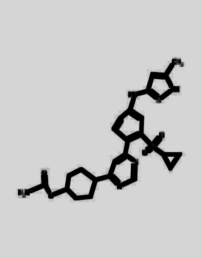 Cc1cc(Nc2ccc(-c3cc(C4CCC(OC(N)=O)CC4)ncn3)c(S(=O)(=O)C3CC3)c2)n[nH]1